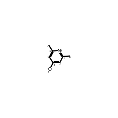 Cc1cc([O])cc(C)n1